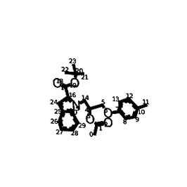 CC(=O)OC(COc1ccc(C)cc1)Cn1c(C(=O)OC(C)(C)C)cc2ccccc21